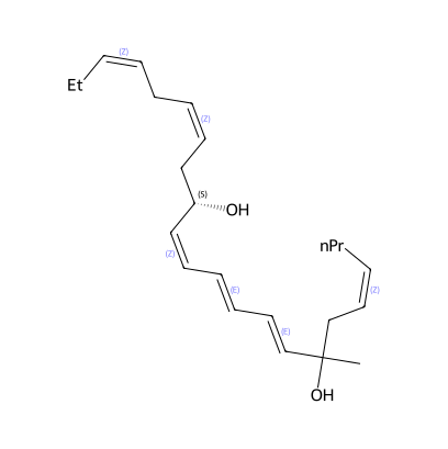 CC/C=C\C/C=C\C[C@H](O)\C=C/C=C/C=C/C(C)(O)C/C=C\CCC